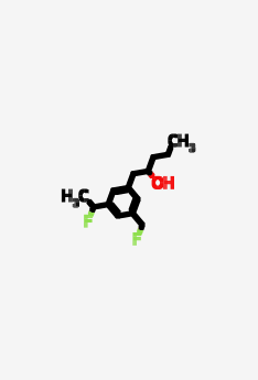 CCCC(O)Cc1cc(CF)cc(C(C)F)c1